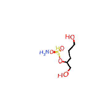 N.O=[SH](=O)OC(CO)CCCO